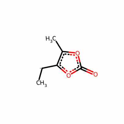 C[CH]c1oc(=O)oc1C